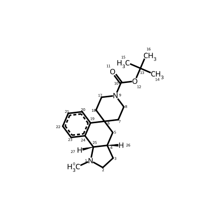 CN1CC[C@H]2CC3(CCN(C(=O)OC(C)(C)C)CC3)c3ccccc3[C@H]21